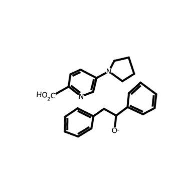 O=C(O)c1ccc(N2CCCC2)cn1.[O]C(Cc1ccccc1)c1ccccc1